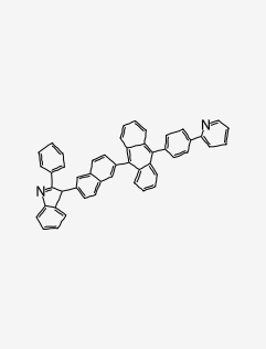 c1ccc(C2=Nc3ccccc3C2c2ccc3cc(-c4c5ccccc5c(-c5ccc(-c6ccccn6)cc5)c5ccccc45)ccc3c2)cc1